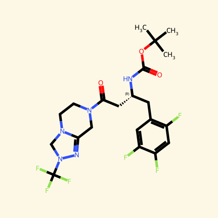 CC(C)(C)OC(=O)N[C@@H](CC(=O)N1CCN2CN(C(F)(F)F)N=C2C1)Cc1cc(F)c(F)cc1F